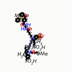 COCCOCC[N+]1=C(/C=C/C=C/C=C/C=C2/N(CCCCCC(=O)NCCNC(=O)c3ccc(C(=O)OC)c(P(c4ccccc4)c4ccccc4)c3)c3ccc(S(=O)(=O)[O-])cc3C2(C)CCCS(=O)(=O)O)C(C)(CCCS(=O)(=O)O)c2cc(S(=O)(=O)O)ccc21